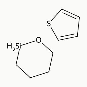 C1CC[SiH2]OC1.c1ccsc1